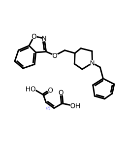 O=C(O)/C=C\C(=O)O.c1ccc(CN2CCC(COc3noc4ccccc34)CC2)cc1